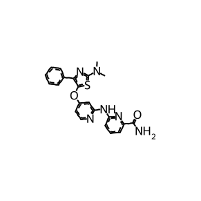 CN(C)c1nc(-c2ccccc2)c(Oc2ccnc(Nc3cccc(C(N)=O)n3)c2)s1